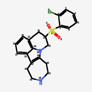 O=S(=O)(c1ccccc1Cl)C1Cc2cccc3c4c(n(c23)C1)CCNCC4